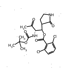 CC(=O)[C@@H](NC(=O)OC(C)(C)C)C(OC(=O)c1c(Cl)cccc1Cl)C1CCNC1=O